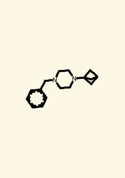 c1ccc(CN2CCN(C34CC(C3)C4)CC2)cc1